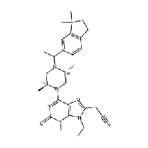 CCn1c(CC#N)nc2c(N3C[C@@H](C)N(C(C)c4ccc5c(c4)C(C)(C)CC5)C[C@@H]3C)nc(=O)n(C)c21